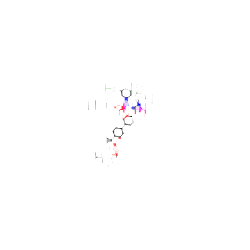 CCOC(=O)N(c1cc(Br)cc(Br)c1)c1c(C)noc1-c1ccc(-c2ccc(C3(C(=O)OCC)CC3)cc2)cc1